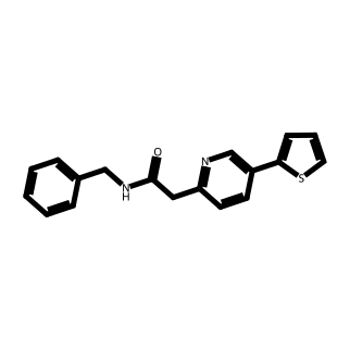 O=C(Cc1ccc(-c2cccs2)cn1)NCc1ccccc1